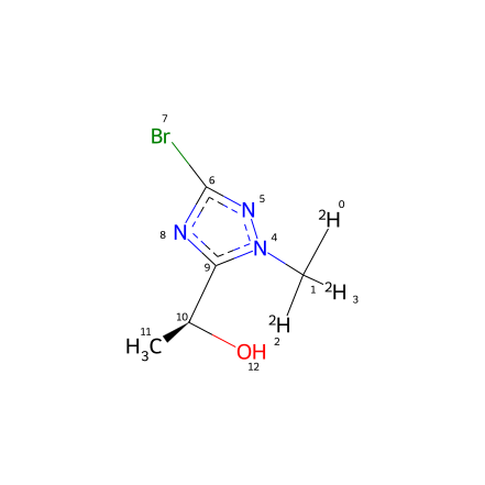 [2H]C([2H])([2H])n1nc(Br)nc1[C@H](C)O